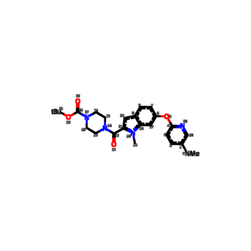 CNc1ccc(Oc2ccc3cc(C(=O)N4CCN(C(=O)OC(C)(C)C)CC4)n(C)c3c2)nc1